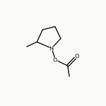 CC(=O)ON1CCCC1C